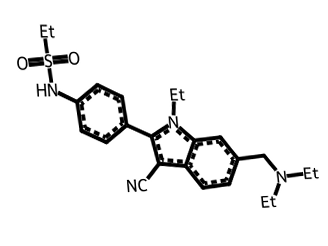 CCN(CC)Cc1ccc2c(C#N)c(-c3ccc(NS(=O)(=O)CC)cc3)n(CC)c2c1